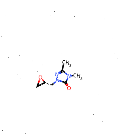 Cc1nn(C[C@@H]2CO2)c(=O)n1C